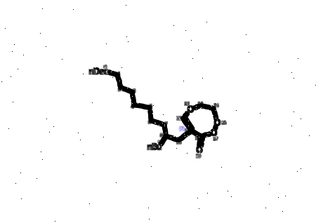 CCCCCCCCCCCCCCCCCC(CCCC)C/C1=C/OCCOOC1=O